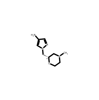 CN1CCO[C@H](Cn2cc(N)cn2)C1